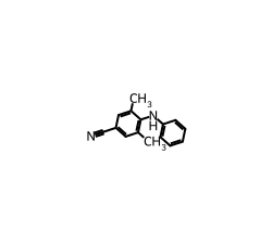 Cc1cc(C#N)cc(C)c1Nc1ccccc1